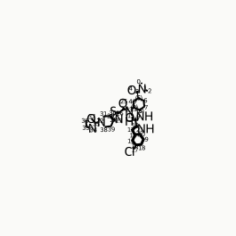 CN(C)C(=O)[C@H]1CC[C@H](NC(=O)c2cc3cc(Cl)ccc3[nH]2)[C@H](NC(=O)c2nc3c(s2)CN(C2=NCCO2)CC3)C1